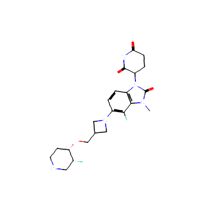 Cn1c(=O)n(C2CCC(=O)NC2=O)c2ccc(N3CC(CO[C@@H]4CCNC[C@@H]4F)C3)c(F)c21